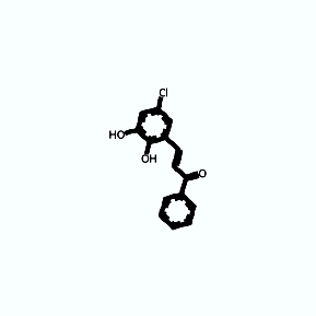 O=C(/C=C/c1cc(Cl)cc(O)c1O)c1ccccc1